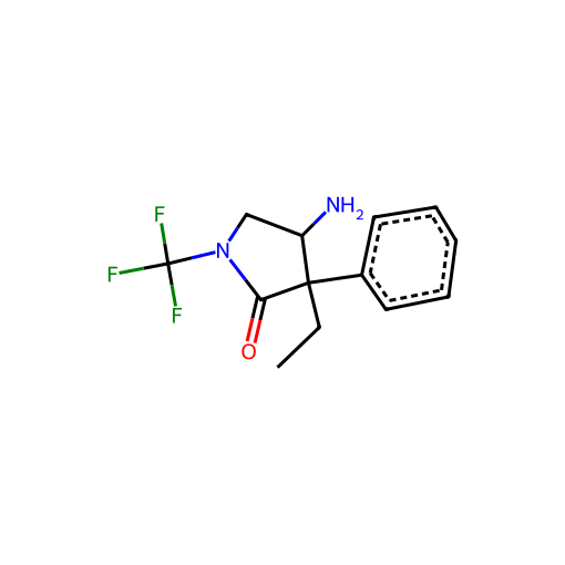 CCC1(c2ccccc2)C(=O)N(C(F)(F)F)CC1N